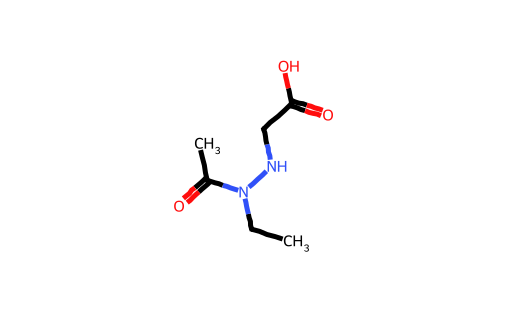 CCN(NCC(=O)O)C(C)=O